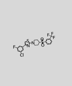 O=S(=O)(c1cccc(C(F)(F)F)c1)C1CCN(c2nc(-c3cc(F)cc(Cl)c3)cs2)CC1